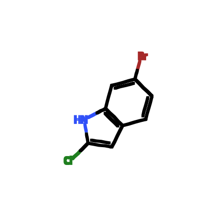 Clc1cc2ccc(Br)cc2[nH]1